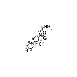 Cl.NCC1CN(c2ccc(N3C=CC(=O)CC3)cc2)C(=O)O1